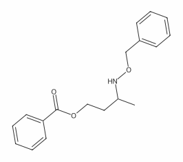 CC(CCOC(=O)c1ccccc1)NOCc1ccccc1